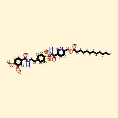 CCCCCCCCCCCC(=O)OCc1ccc(C(=O)NS(=O)(=O)c2ccc(CCNC(=O)c3ccc(OC)c(OC)c3)cc2)cn1